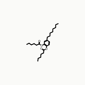 CCCCCCCCc1ccc(OC(=O)CCCCC)c(OC(=O)CCCCC)c1